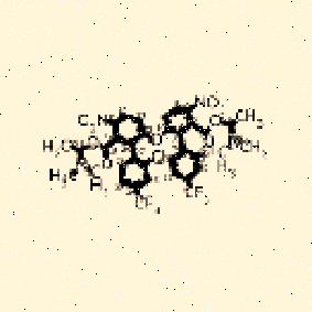 CC(OC(=O)c1c([N+](=O)[O-])ccc(Oc2ccc([N+](=O)[O-])c(C(=O)OC(C)N(C)C)c2-c2ccc(C(F)(F)F)cc2Cl)c1-c1ccc(C(F)(F)F)cc1Cl)N(C)C